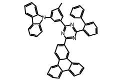 Cc1cc(-c2nc(-c3ccc4c5ccccc5c5ccccc5c4c3)nc(-c3ccccc3-c3ccccc3)n2)cc(-n2c3ccccc3c3ccccc32)c1